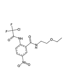 CCOCCNC(=O)c1cc([N+](=O)[O-])ccc1NC(=O)C(F)(F)Cl